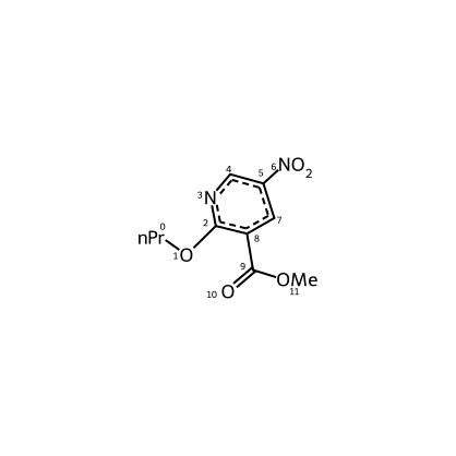 CCCOc1ncc([N+](=O)[O-])cc1C(=O)OC